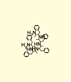 CC(N)C(Cc1ccccc1)NC(C)C(Cc1ccccc1)NC(C)C(Cc1ccccc1)NC(C)C(Cc1ccccc1)NC(C)C(N)Cc1ccccc1